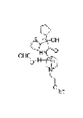 CCOCC[N+]12CCC(CC1)[C@@H](NC(=O)[C@](O)(c1cccs1)C1CCCC1)C2.O=C[O-]